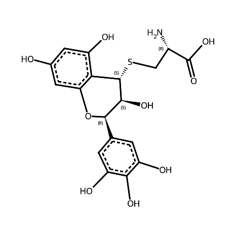 N[C@@H](CS[C@H]1c2c(O)cc(O)cc2O[C@H](c2cc(O)c(O)c(O)c2)[C@@H]1O)C(=O)O